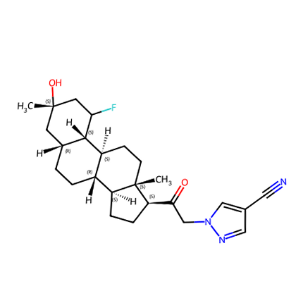 C[C@@]1(O)CC(F)[C@H]2[C@H](CC[C@@H]3[C@@H]2CC[C@]2(C)[C@@H](C(=O)Cn4cc(C#N)cn4)CC[C@@H]32)C1